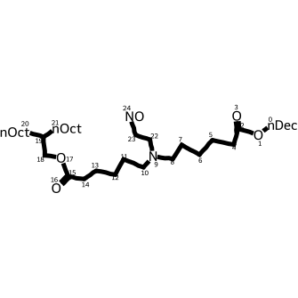 CCCCCCCCCCOC(=O)CCCCCN(CCCCCC(=O)OCC(CCCCCCCC)CCCCCCCC)CCN=O